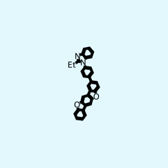 CCc1nc2ccccc2n1-c1ccc(-c2ccc3oc4cc5c(cc4c3c2)oc2ccccc25)cc1